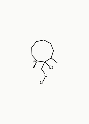 CCC1(COCl)C(C)CCCCCC[C@@H]1C